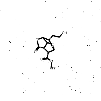 CCCOC(=O)C1C2OC3C(OC(=O)C31)C2CCO